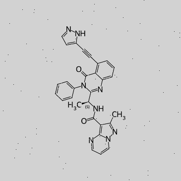 Cc1nn2cccnc2c1C(=O)N[C@@H](C)c1nc2cccc(C#Cc3ccn[nH]3)c2c(=O)n1-c1ccccc1